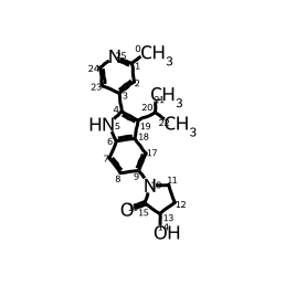 Cc1cc(-c2[nH]c3ccc(N4CCC(O)C4=O)cc3c2C(C)C)ccn1